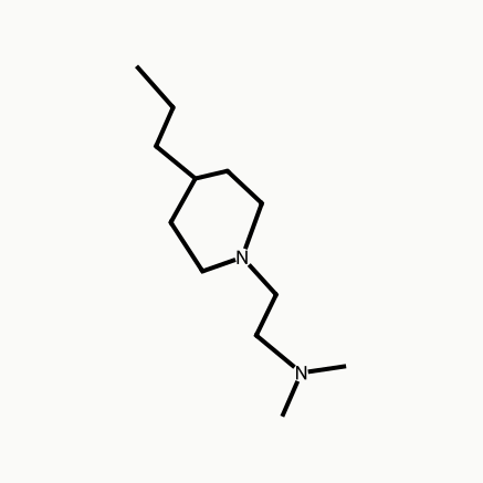 CCCC1CCN(CCN(C)C)CC1